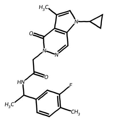 Cc1ccc(C(C)NC(=O)Cn2ncc3c(c(C)cn3C3CC3)c2=O)cc1F